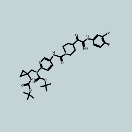 CC(C)(C)OC(=O)NC1(CN(C(=O)OC(C)(C)C)c2ccc(NC(=O)N3CCC(C(=O)C(=N)Nc4ccc(F)c(Br)c4)CC3)cn2)CC1